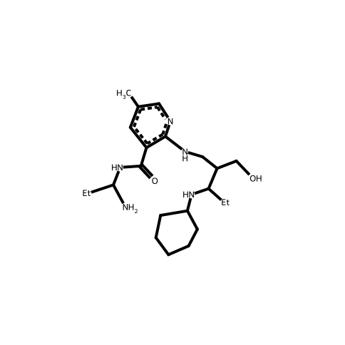 CCC(N)NC(=O)c1cc(C)cnc1NCC(CO)C(CC)NC1CCCCC1